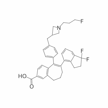 O=C(O)c1ccc2c(c1)CCCC(c1cccc3c1CCC3(F)F)=C2c1ccc(CC2CN(CCCF)C2)cc1